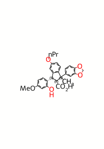 CCCOc1ccc2c(c1)[C@@H](c1ccc(OC)cc1O)[C@@H](C(=O)O)[C@@]2(C)c1ccc2c(c1)OCO2